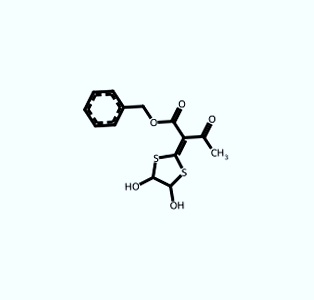 CC(=O)C(C(=O)OCc1ccccc1)=C1SC(O)C(O)S1